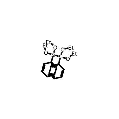 CCO[Si](OCC)(c1ccccc1)[Si](OCC)(OCC)c1ccccc1